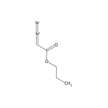 CCCOC(=O)C=[N+]=[N-]